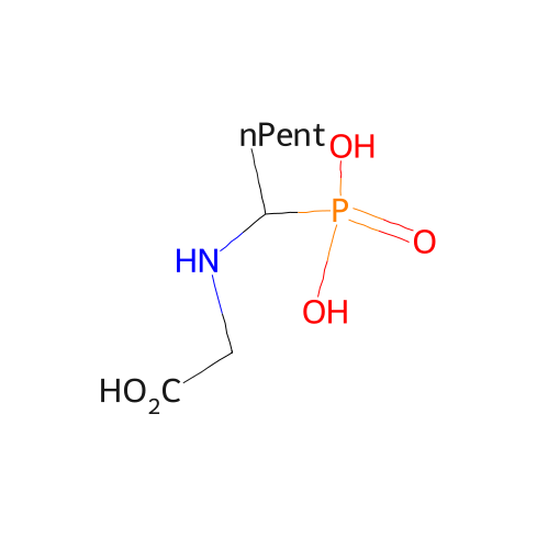 CCCCCC(NCC(=O)O)P(=O)(O)O